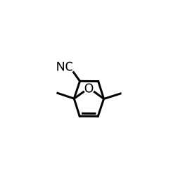 CC12C=CC(C)(O1)C(C#N)C2